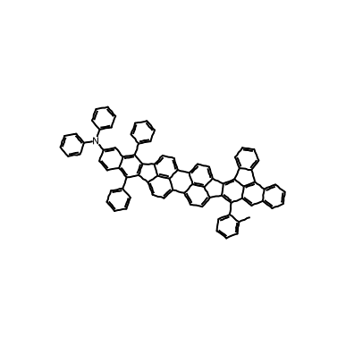 Cc1ccccc1-c1c2cc3ccccc3c3c4ccccc4c(c4c5ccc6c7ccc8c9c(ccc(c%10ccc(c14)c5c%106)c97)-c1c-8c(-c4ccccc4)c4cc(N(c5ccccc5)c5ccccc5)ccc4c1-c1ccccc1)c23